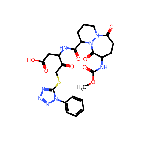 COC(=O)NC1CCC(=O)N2CCCC(C(=O)NC(CC(=O)O)C(=O)CSc3nnnn3-c3ccccc3)N2C1=O